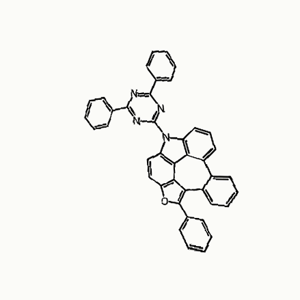 c1ccc(-c2nc(-c3ccccc3)nc(-n3c4cccc5c4c4c6c(c(-c7ccccc7)oc6ccc43)-c3ccccc3-5)n2)cc1